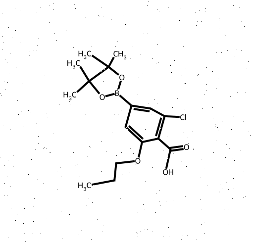 CCCOc1cc(B2OC(C)(C)C(C)(C)O2)cc(Cl)c1C(=O)O